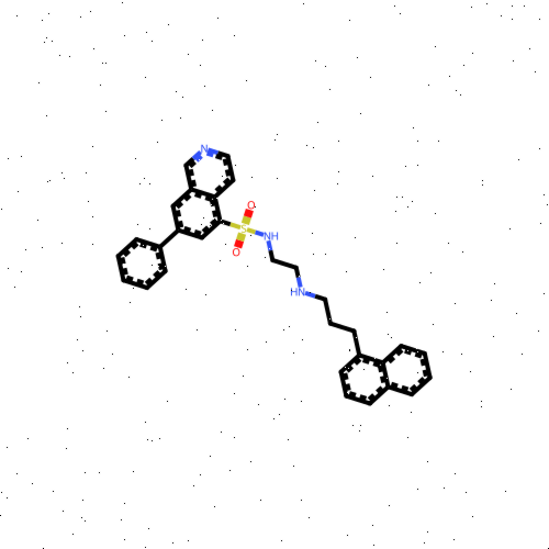 O=S(=O)(NCCNCCCc1cccc2ccccc12)c1cc(-c2ccccc2)cc2cnccc12